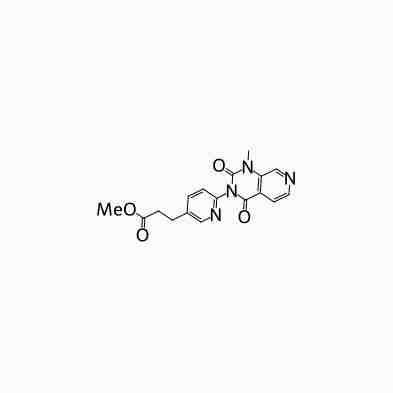 COC(=O)CCc1ccc(-n2c(=O)c3ccncc3n(C)c2=O)nc1